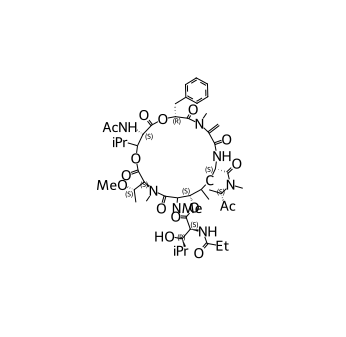 C=C1C(=O)N[C@H](C(=O)N(C)[C@@H](C)C(C)=O)CC(C)[C@H](OC(=O)[C@@H](NC(=O)CC)[C@H](O)C(C)C)C(NC)C(=O)N(C)[C@@H]([C@H](C)OC)C(=O)OC(C(C)C)[C@H](NC(C)=O)C(=O)O[C@H](Cc2ccccc2)C(=O)N1C